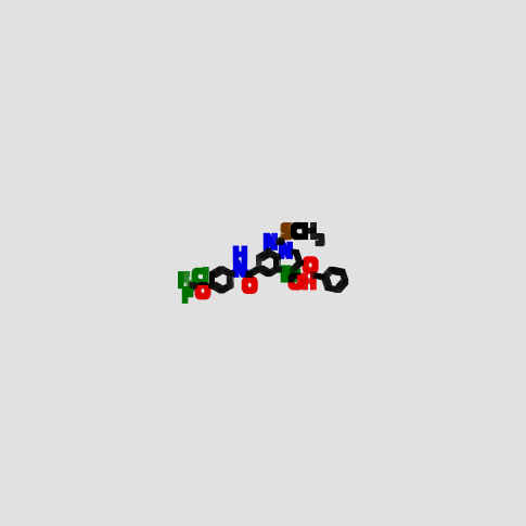 CSc1nc2cc(C(=O)Nc3ccc(OC(F)(F)Cl)cc3)cc(Br)c2n1CC(CO)OCc1ccccc1